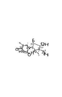 [2H]C[C@@]12C[C@@H]1[C@@H](n1cc(C)c(=O)[nH]c1=O)[C@@H](F)[C@@H]2O